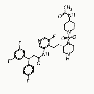 CC(=O)NC1CCN(S(=O)(=O)N2CCNC[C@@H]2CCc2c(F)cncc2NC(=O)C[C@@H](c2ccc(F)cc2)c2cc(F)cc(F)c2)CC1